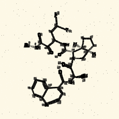 CC[C@@H](C)NC(=O)C(=O)C(CC(F)F)NC(=O)[C@@H]1[C@H]2CCC[C@H]2CN1C(=O)[C@H](NC(=O)c1ccnc2ccccc12)C(C)(C)C